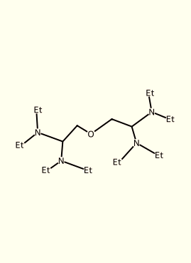 CCN(CC)C(COCC(N(CC)CC)N(CC)CC)N(CC)CC